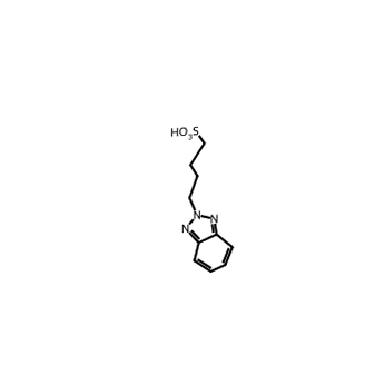 O=S(=O)(O)CCCCn1nc2ccccc2n1